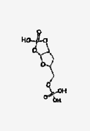 O=P(O)(O)OCC1CC2OP(=O)(O)OC2O1